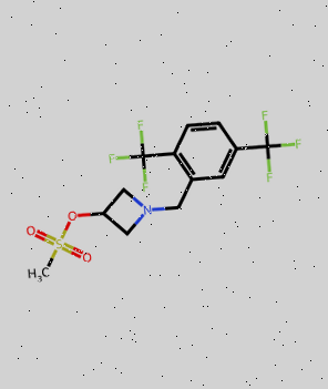 CS(=O)(=O)OC1CN(Cc2cc(C(F)(F)F)ccc2C(F)(F)F)C1